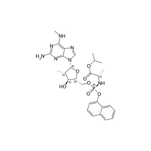 CNc1nc(N)nc2c1ncn2[C@@H]1O[C@H](CO[P@](=O)(N[C@@H](C)C(=O)OC(C)C)Oc2cccc3ccccc23)[C@@H](O)[C@@H]1C